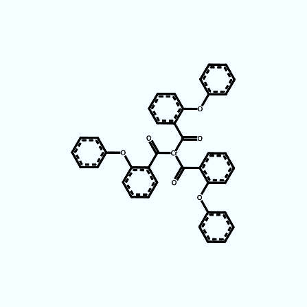 O=[C](c1ccccc1Oc1ccccc1)[Cr]([C](=O)c1ccccc1Oc1ccccc1)[C](=O)c1ccccc1Oc1ccccc1